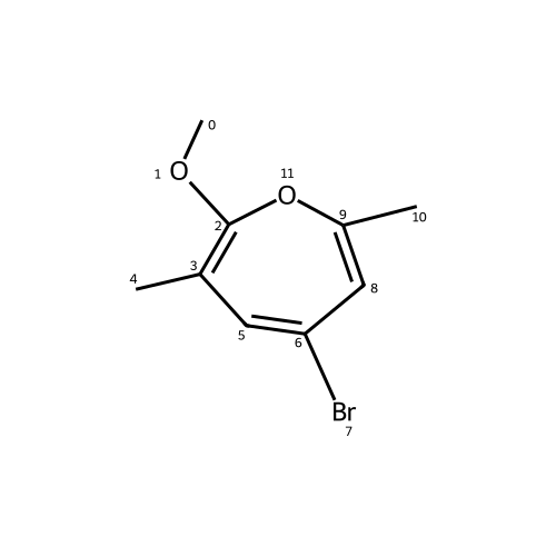 COC1=C(C)C=C(Br)C=C(C)O1